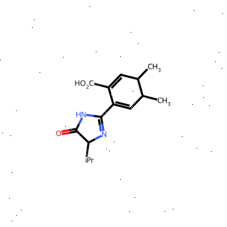 CC(C)C1N=C(C2=CC(C)C(C)C=C2C(=O)O)NC1=O